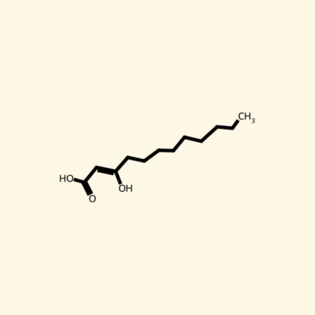 CCCCCCCCCC(O)=CC(=O)O